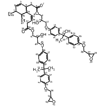 CCC1C=CC(CC(=O)OCC(O)COc2ccc(C(C)(C)c3ccc(OCC4CO4)cc3)cc2)C(C=CCC(=O)OCC(O)COc2ccc(C(C)(C)c3ccc(OCC4CO4)cc3)cc2)C1CC